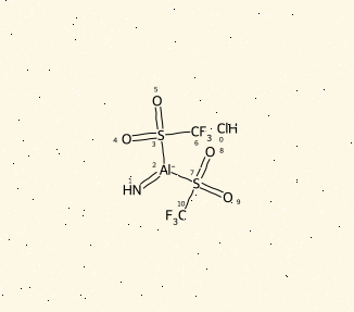 Cl.[NH]=[Al-]([S](=O)(=O)C(F)(F)F)[S](=O)(=O)C(F)(F)F